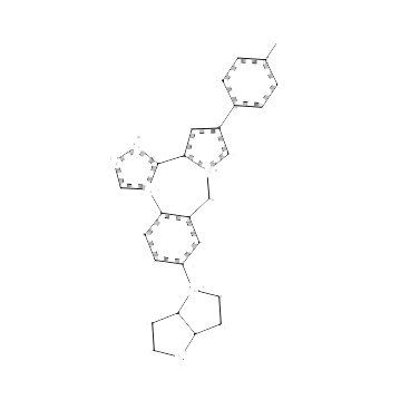 Fc1ccc(-c2cc3n(c2)Cc2cc(N4CC[C@H]5NCCC54)ccc2-n2cnnc2-3)cc1